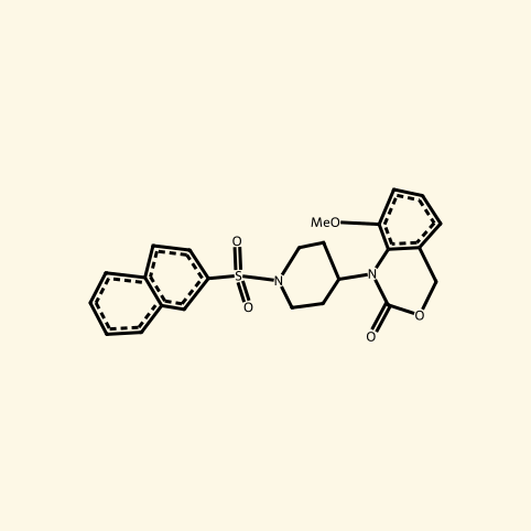 COc1cccc2c1N(C1CCN(S(=O)(=O)c3ccc4ccccc4c3)CC1)C(=O)OC2